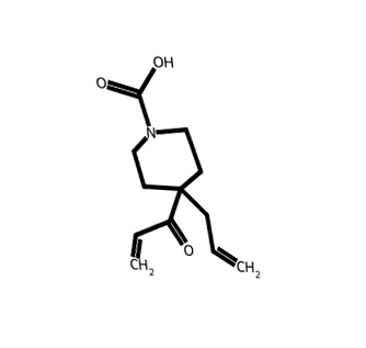 C=CCC1(C(=O)C=C)CCN(C(=O)O)CC1